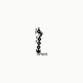 CCCCCc1cnc(-c2ccc(-c3ccc(-c4ccc(/C=C/C(F)(F)Oc5cc(F)c(F)c(F)c5)c(F)c4)c(F)c3)cc2)nc1